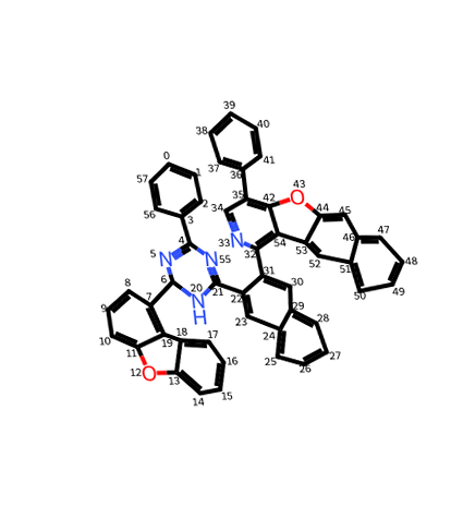 c1ccc(C2=NC(c3cccc4oc5ccccc5c34)NC(c3cc4ccccc4cc3-c3ncc(-c4ccccc4)c4oc5cc6ccccc6cc5c34)=N2)cc1